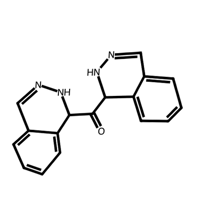 O=C(C1NN=Cc2ccccc21)C1NN=Cc2ccccc21